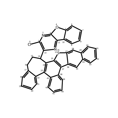 Clc1nc2oc3ccccc3c2nc1C1CCc2ccccc2-c2c1c1sc3cc4ccccc4cc3c1c1ccccc21